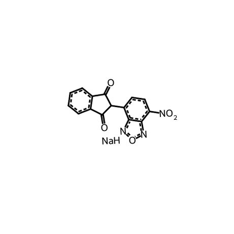 O=C1c2ccccc2C(=O)C1c1ccc([N+](=O)[O-])c2nonc12.[NaH]